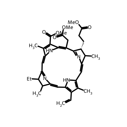 C=Cc1c(C)c2cc3nc(c(CC(=O)OC)c4[nH]c(cc5nc(cc1[nH]2)C(C)C5CC)c(C)c4C(=O)OC)[C@H](CCC(=O)OC)C3C